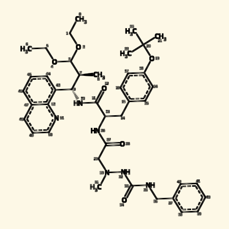 CCOC(OCC)[C@@H](C)[C@H](NC(=O)C(Cc1ccc(OC(C)(C)C)cc1)NC(=O)CN(C)NC(=O)NCc1ccccc1)c1cccc2cccnc12